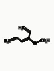 C=CC=C(C=C)OC(=O)O